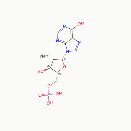 O=P(O)(O)OC[C@H]1O[C@@H](n2cnc3c(O)ncnc32)C[C@@H]1O.[NaH]